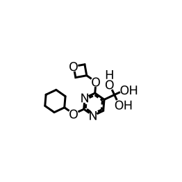 OC(O)(O)c1cnc(OC2CCCCC2)nc1OC1COC1